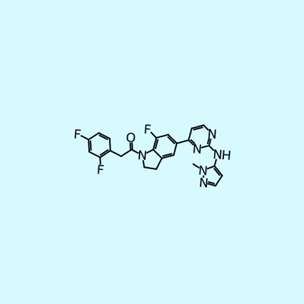 Cn1nccc1Nc1nccc(-c2cc(F)c3c(c2)CCN3C(=O)Cc2ccc(F)cc2F)n1